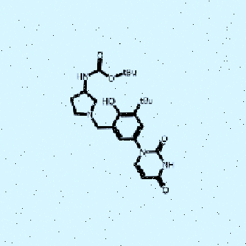 CC(C)(C)OC(=O)NC1CCN(Cc2cc(-n3ccc(=O)[nH]c3=O)cc(C(C)(C)C)c2O)C1